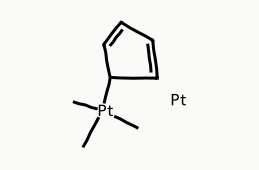 [CH3][Pt]([CH3])([CH3])[CH]1C=CC=C1.[Pt]